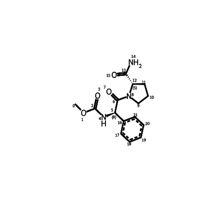 COC(=O)N[C@@H](C(=O)N1CCC[C@H]1C(N)=O)c1ccccc1